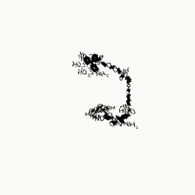 CC(C)(CCOC(=O)NCCOCCOCCNC(=O)c1ccc(C(=O)O)c(-c2c3ccc(=N)c(S(=O)(=O)O)c-3oc3c(S(=O)(=O)O)c(N)ccc23)c1)SSCOCCCCCNC(=O)NCC#Cc1cn([C@H]2CC(OCN=[N+]=[N-])[C@@H](COP(=O)(O)OP(=O)(O)OP(=O)(O)O)O2)c(=O)nc1N